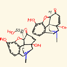 CN1CC[C@]23c4c5ccc(O)c4O[C@H]2C(=O)C=CC3(O)C1C5.CN1CC[C@]23c4c5ccc(O)c4O[C@H]2C(=O)C=CC3(O)C1C5.O=S(=O)(O)O